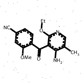 CCOc1ncc(C)c(N)c1C(=O)c1ccc(C#N)cc1OC